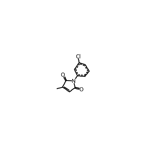 CC1=CC(=O)N(c2cccc(Cl)c2)C1=O